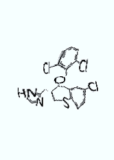 Clc1ccc2c(c1)[C@@H](OCc1c(Cl)cccc1Cl)[C@@H](Cc1ncc[nH]1)CS2